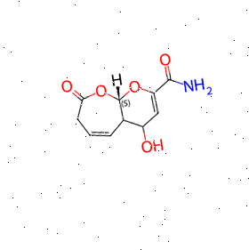 NC(=O)C1=CC(O)C2C=CCC(=O)O[C@@H]2O1